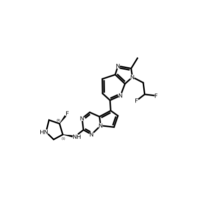 Cc1nc2ccc(-c3ccn4nc(N[C@H]5CNC[C@H]5F)ncc34)nc2n1CC(F)F